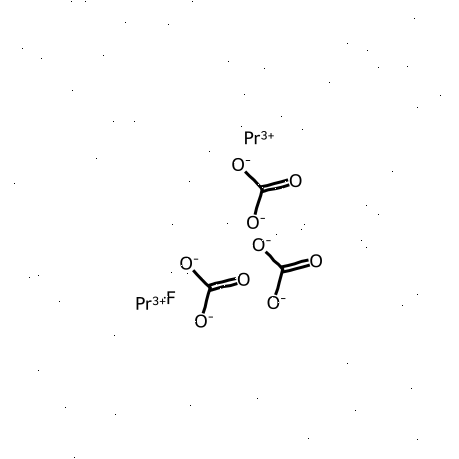 O=C([O-])[O-].O=C([O-])[O-].O=C([O-])[O-].[F].[Pr+3].[Pr+3]